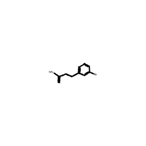 C=C(CCC)CCc1cccc(Br)c1